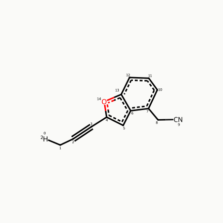 [2H]CC#Cc1cc2c(CC#N)cccc2o1